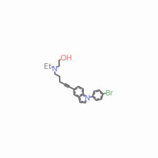 CCN(CCO)CCCC#Cc1ccc2c(ccn2-c2ccc(Br)cc2)c1